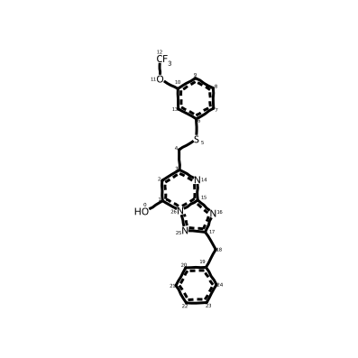 Oc1cc(CSc2cccc(OC(F)(F)F)c2)nc2nc(Cc3ccccc3)nn12